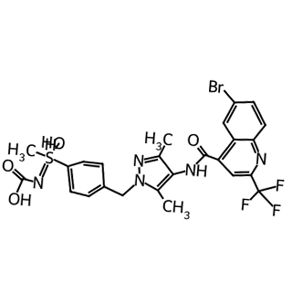 Cc1nn(Cc2ccc([SH](C)(O)=NC(=O)O)cc2)c(C)c1NC(=O)c1cc(C(F)(F)F)nc2ccc(Br)cc12